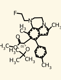 COC(=O)[C@@H](OC(C)(C)C)c1c(C)c2c3c(cc(C)n3CCN2CCF)c1-c1ccc(C)cc1